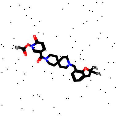 CC1(C)Cc2cccc(CN3CCC4(CC3)CCN(C(=O)c3ccc(=O)n(OC(=O)C(F)(F)F)c3)CC4)c2O1